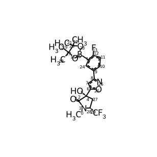 CN1C(=O)[C@](O)(c2cc(-c3ccc(F)c(B4OC(C)(C)C(C)(C)O4)c3)no2)C[C@H]1C(F)(F)F